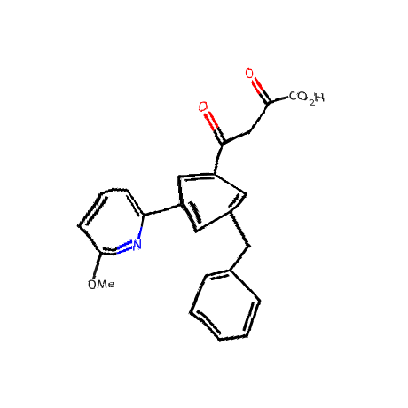 COc1cccc(-c2cc(Cc3ccccc3)cc(C(=O)CC(=O)C(=O)O)c2)n1